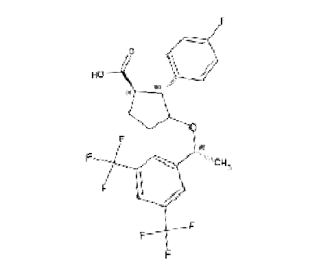 C[C@@H](OC1CC[C@@H](C(=O)O)[C@@H]1c1ccc(F)cc1)c1cc(C(F)(F)F)cc(C(F)(F)F)c1